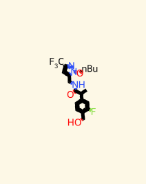 CCCCOn1nc(C(F)(F)F)cc1CNC(=O)C(C)c1ccc(CO)c(F)c1